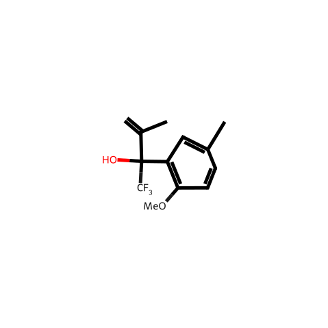 C=C(C)C(O)(c1cc(C)ccc1OC)C(F)(F)F